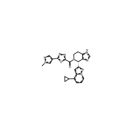 Cn1cc(-c2nnc(C(=O)N3CCc4[nH]cnc4[C@@H]3c3cc4c(C5CC5)cccn4n3)o2)cn1